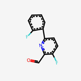 O=Cc1nc(-c2ccccc2F)ccc1F